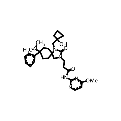 COc1ccnc(NC(=O)CCN2CC3(CCC(c4ccccc4)(N(C)C)CC3)N(CC3(O)CCC3)C2=O)n1